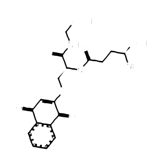 N[C@@H](CCC(=O)N[C@@H](CSC1=CC(=O)c2ccccc2C1=O)C(=O)NCC(=O)O)C(=O)O